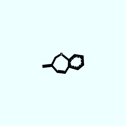 C=C1C=Cc2ccccc2OC1